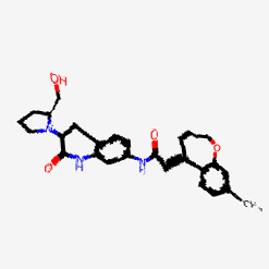 O=C(/C=C1\CCCOc2cc(C(F)(F)F)ccc21)Nc1ccc2c(c1)NC(=O)C(N1CCC[C@H]1CO)C2